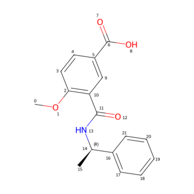 COc1ccc(C(=O)O)cc1C(=O)N[C@H](C)c1ccccc1